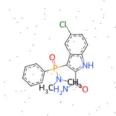 CN(C)P(=O)(c1ccccc1)c1c(C(N)=O)[nH]c2ccc(Cl)cc12